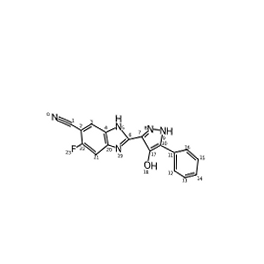 N#Cc1cc2[nH]c(-c3n[nH]c(-c4ccccc4)c3O)nc2cc1F